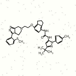 CSc1ccccc1-c1nnc2n1CCN(CCOc1ccc(NC(=O)Nc3cc(C(C)(C)C)nn3-c3ccc(C)cc3)c3c1CCC3)C2